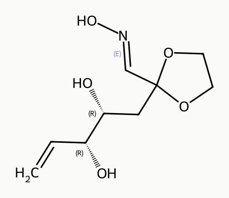 C=C[C@@H](O)[C@H](O)CC1(/C=N/O)OCCO1